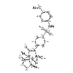 COc1ccc(NS(=O)(=O)c2ccc(N3C(=O)[C@@H]4[C@H](C3=O)[C@@H]3C=C[C@H]4C3)cc2)cc1